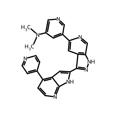 CN(C)c1cncc(-c2cc3c(-c4cc5c(-c6ccncc6)ccnc5[nH]4)n[nH]c3cn2)c1